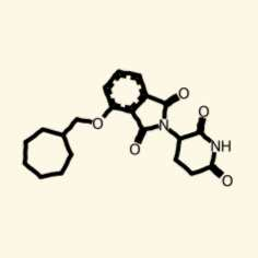 O=C1CCC(N2C(=O)c3cccc(OCC4CCCCCC4)c3C2=O)C(=O)N1